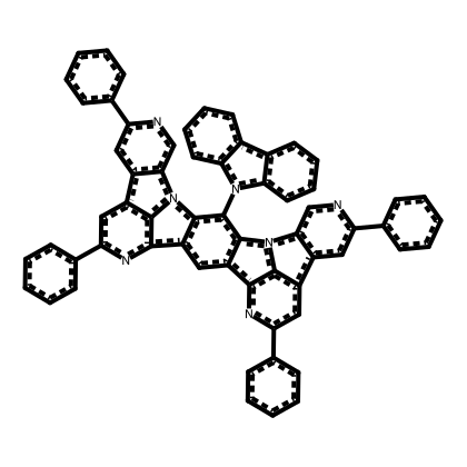 c1ccc(-c2cc3c4cc(-c5ccccc5)nc5c6cc7c8nc(-c9ccccc9)cc9c%10cc(-c%11ccccc%11)ncc%10n(c7c(-n7c%10ccccc%10c%10ccccc%107)c6n(c3cn2)c45)c98)cc1